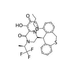 CCCOc1cccc2c1[C@H](C1CN([C@H](C)C(F)(F)F)C(=O)c3c(O)c(=O)ccn31)c1ccccc1SC2